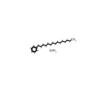 CCCCCCCCCCCCCCCc1ccccc1.[CaH2]